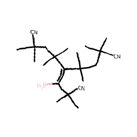 BC(=C(C(C)(C)CC(C)(C)C#N)C(C)(C)CC(C)(C)C#N)C(C)(C)C#N